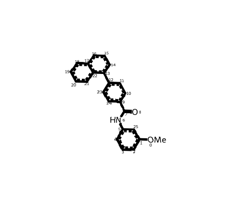 COc1cccc(NC(=O)c2ccc(-c3cccc4ccccc34)cc2)c1